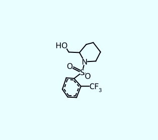 O=S(=O)(c1ccccc1C(F)(F)F)N1CCCCC1CO